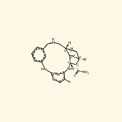 NC(=O)[C@H]1[C@@H]2C[C@H]3CNCc4cccc(c4)Nc4ncc(F)c(n4)N[C@@H]1[C@@H]3C2